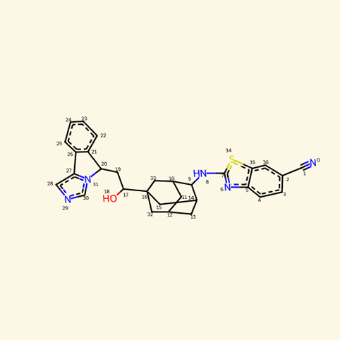 N#Cc1ccc2nc(NC3C4CC5CC3CC(C(O)CC3c6ccccc6-c6cncn63)(C5)C4)sc2c1